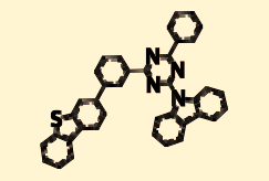 c1ccc(-c2nc(-c3cccc(-c4ccc5c(c4)sc4ccccc45)c3)nc(-n3c4ccccc4c4ccccc43)n2)cc1